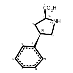 O=C(O)[C@@H]1C[C@H](c2ccccc2)CN1